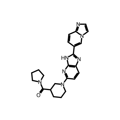 O=C(C1CCCN(c2ccc3nc(-c4ccc5nccn5c4)[nH]c3n2)C1)N1CCCC1